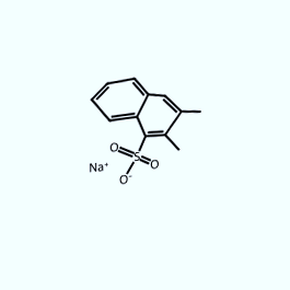 Cc1cc2ccccc2c(S(=O)(=O)[O-])c1C.[Na+]